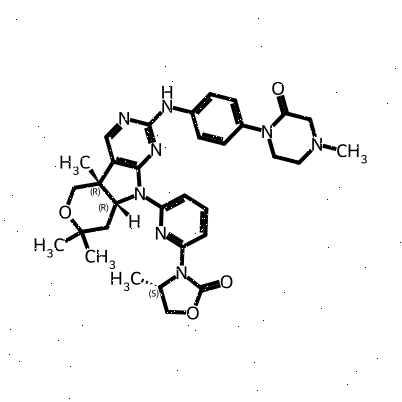 C[C@H]1COC(=O)N1c1cccc(N2c3nc(Nc4ccc(N5CCN(C)CC5=O)cc4)ncc3[C@@]3(C)COC(C)(C)C[C@@H]23)n1